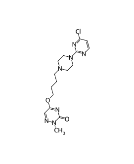 Cn1ncc(OCCCCN2CCN(c3nccc(Cl)n3)CC2)nc1=O